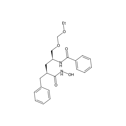 CCOCOC[C@H](C[C@H](Cc1ccccc1)C(=O)NO)NC(=O)c1ccccc1